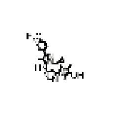 Cc1nn(-c2cc(Nc3c(C)c(-c4ccc(C(F)(F)F)nc4)nn3CC3CC3)ncn2)c(C)c1O